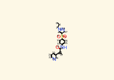 CCCn1cc(S(=O)(=O)c2ccc(NC(=O)C3CC3c3cccnc3)cc2)cn1